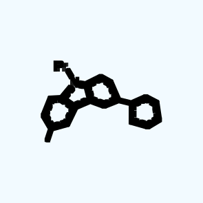 Cc1ccc2c(c1)c1cc(-c3ccccc3)ccc1n2C(C)C